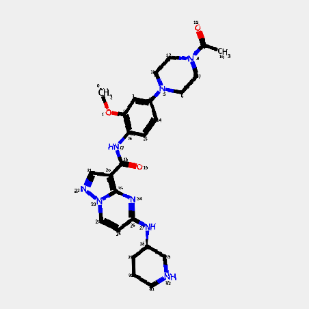 COc1cc(N2CCN(C(C)=O)CC2)ccc1NC(=O)c1cnn2ccc(N[C@@H]3CCCNC3)nc12